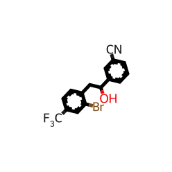 N#Cc1cccc(C(O)Cc2ccc(C(F)(F)F)cc2Br)c1